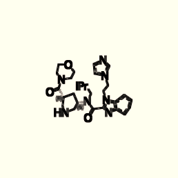 CC(C)CN(C(=O)c1nc2ccccc2n1CCn1ccnc1)[C@@H]1CNC[C@H](C(=O)N2CCOCC2)C1